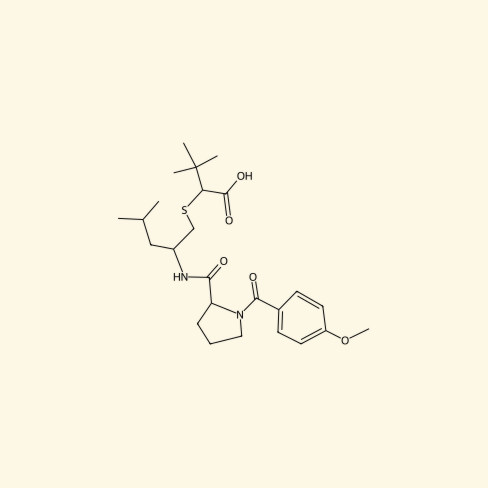 COc1ccc(C(=O)N2CCCC2C(=O)NC(CSC(C(=O)O)C(C)(C)C)CC(C)C)cc1